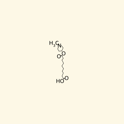 CN1CCC(OC(=O)CCCCCCCCC(=O)O)CC1